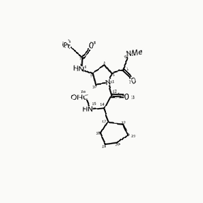 CNC(=O)C1CC(NC(=O)C(C)C)CN1C(=O)C(NC=O)C1CCCCC1